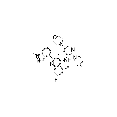 Cc1c(-c2cccc3c2cnn3C)nc2cc(F)cc(F)c2c1Nc1cc(N2CCOCC2)cnc1N1CCOCC1